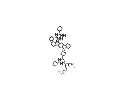 C=C/C(=C\C=C/C)c1nc(-c2ccccc2)nc(-c2ccc(-n3c4ccccc4c4cc5c(cc43)c3ccccc3n5N/C(=N\C(=N)c3ccccc3)c3ccccc3)cc2)n1